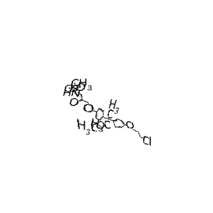 COc1cc(OCC(=O)CNS(C)(=O)=O)ccc1C(C)(C)c1ccc(OCCCCl)cc1